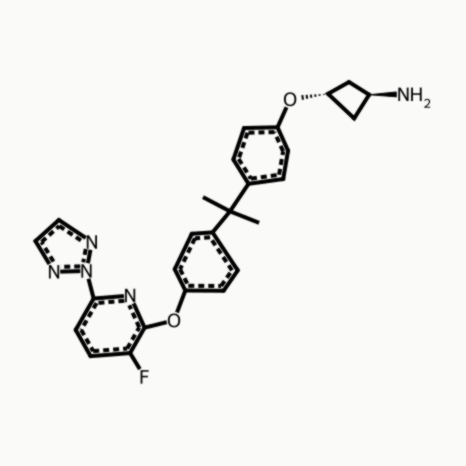 CC(C)(c1ccc(Oc2nc(-n3nccn3)ccc2F)cc1)c1ccc(O[C@H]2C[C@H](N)C2)cc1